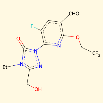 CCn1c(CO)nn(-c2nc(OCC(F)(F)F)c(C=O)cc2F)c1=O